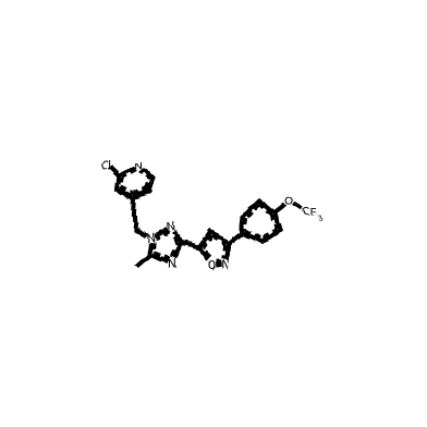 Cc1nc(-c2cc(-c3ccc(OC(F)(F)F)cc3)no2)nn1Cc1ccnc(Cl)c1